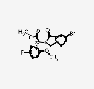 COC(=O)[C@@H](c1cc(F)ccc1OC)N1Cc2ccc(Br)cc2C1=O